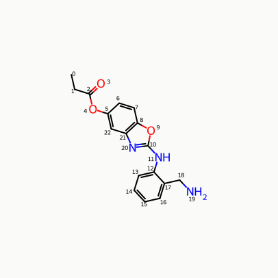 CCC(=O)Oc1ccc2oc(Nc3ccccc3CN)nc2c1